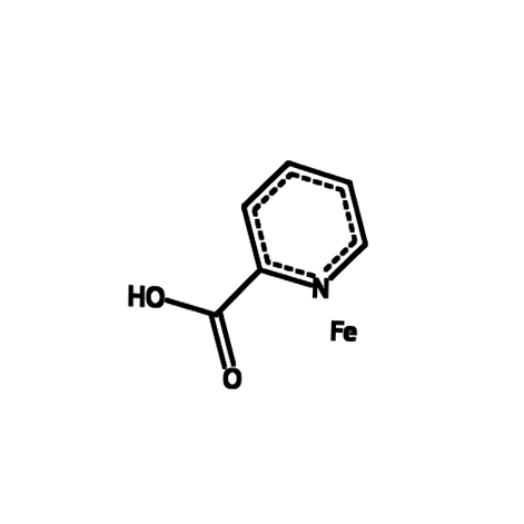 O=C(O)c1ccccn1.[Fe]